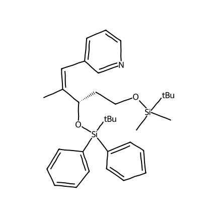 CC(=Cc1cccnc1)[C@H](CCO[Si](C)(C)C(C)(C)C)O[Si](c1ccccc1)(c1ccccc1)C(C)(C)C